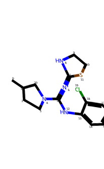 CC1CCN(C(=[N+]=C2NCCS2)Nc2ccccc2Cl)C1